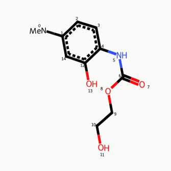 CNc1ccc(NC(=O)OCCO)c(O)c1